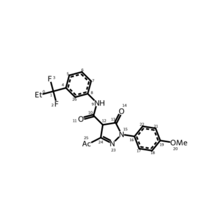 CCC(F)(F)c1cccc(NC(=O)C2C(=O)N(c3ccc(OC)cc3)N=C2C(C)=O)c1